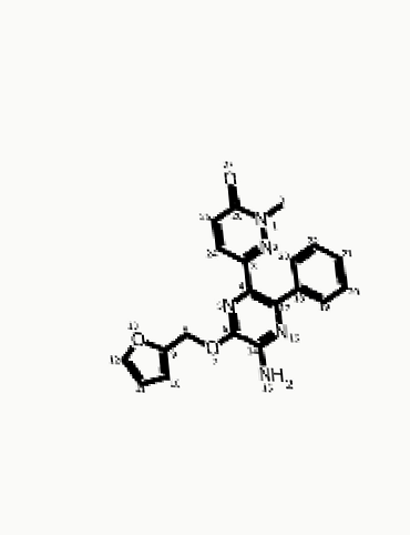 Cn1nc(-c2nc(OCc3ccco3)c(N)nc2-c2ccccc2)ccc1=O